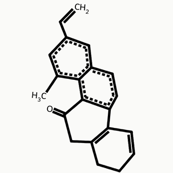 C=Cc1cc(C)c2c3c(ccc2c1)C1=C(CCC=C1)CC3=O